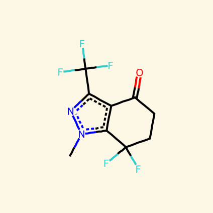 Cn1nc(C(F)(F)F)c2c1C(F)(F)CCC2=O